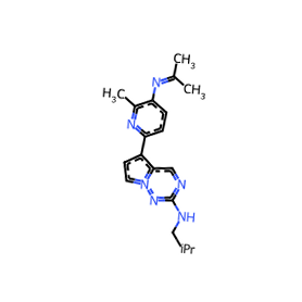 CC(C)=Nc1ccc(-c2ccn3nc(NCC(C)C)ncc23)nc1C